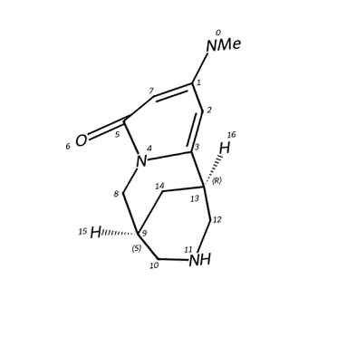 CNc1cc2n(c(=O)c1)C[C@@H]1CNC[C@H]2C1